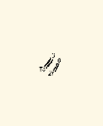 [O]=[Ta].[O]=[Zr]